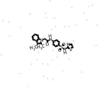 Cc1c(C)n(CC(=O)Nc2ccc(S(=O)(=O)Nc3nccs3)cc2)c2ccccc12